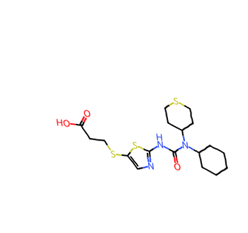 O=C(O)CCSc1cnc(NC(=O)N(C2CCCCC2)C2CCSCC2)s1